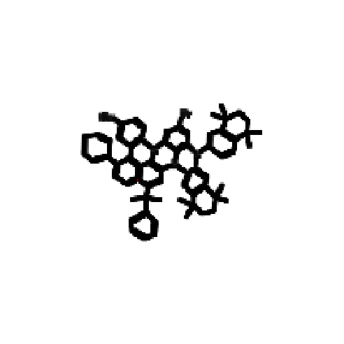 CC(C)c1cc2c3c(c1)N(c1ccc(C(C)(C)C)cc1-c1ccccc1-c1ccccc1)c1ccc(C(C)(C)c4ccccc4)cc1B3c1cc3c(cc1N2c1ccc2c(c1)C(C)(C)CCC2(C)C)C(C)(C)CCC3(C)C